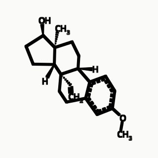 C=C[C@@]12CCc3cc(OC)ccc3[C@H]1CC[C@]1(C)[C@H](O)CC[C@H]12